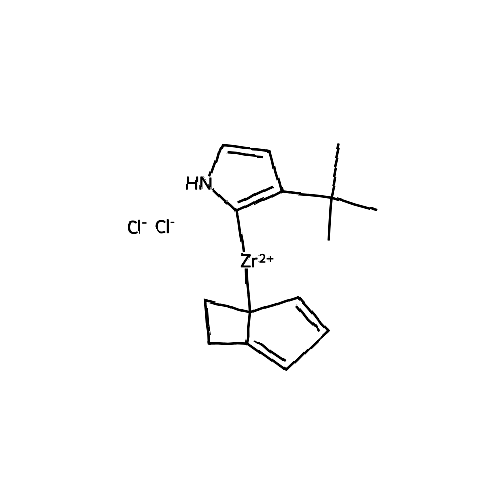 CC(C)(C)c1cc[nH][c]1[Zr+2][C]12C=CC=C1CC2.[Cl-].[Cl-]